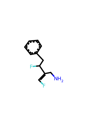 NC/C(=C\F)C(F)Cc1ccccc1